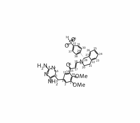 COc1cc(Cc2cnc(N)nc2N)cc(C(=O)/C=C/N2CCc3ccccc3[C@H]2c2ccc(S(C)(=O)=O)cc2)c1OC